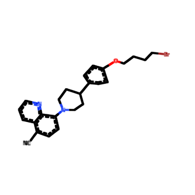 N#Cc1ccc(N2CCC(c3ccc(OCCCCBr)cc3)CC2)c2ncccc12